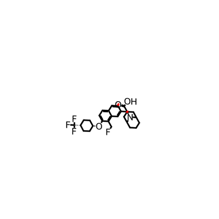 O=C(O)C1CC2CCCC(C1)N2Cc1ccc2ccc(O[C@H]3CC[C@@H](C(F)(F)F)CC3)c(CF)c2c1